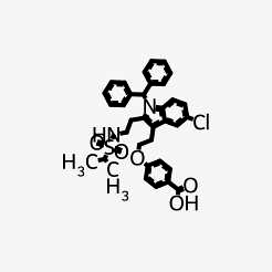 CC(C)S(=O)(=O)NCCc1c(CCOc2ccc(C(=O)O)cc2)c2cc(Cl)ccc2n1C(c1ccccc1)c1ccccc1